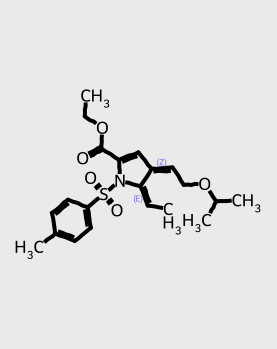 C/C=c1\c(=C/COC(C)C)cc(C(=O)OCC)n1S(=O)(=O)c1ccc(C)cc1